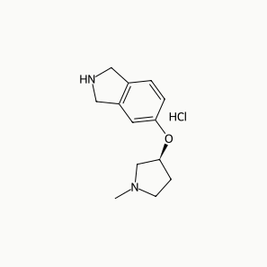 CN1CC[C@H](Oc2ccc3c(c2)CNC3)C1.Cl